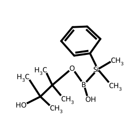 CC(C)(O)C(C)(C)OB(O)[Si](C)(C)c1ccccc1